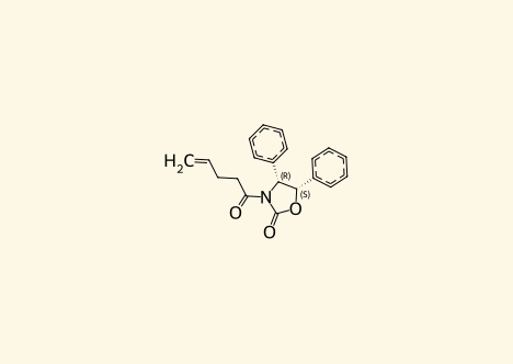 C=CCCC(=O)N1C(=O)O[C@@H](c2ccccc2)[C@H]1c1ccccc1